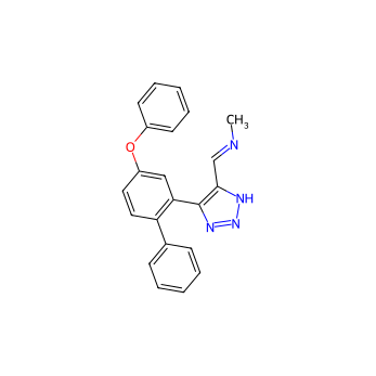 C/N=C/c1[nH]nnc1-c1cc(Oc2ccccc2)ccc1-c1ccccc1